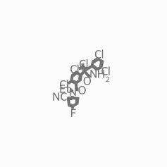 CCN(C(=O)c1cc(C2(C(N)=O)C(c3cc(Cl)cc(Cl)c3)C2(Cl)Cl)ccc1Cl)c1ccc(F)cc1C#N